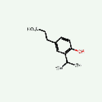 CC(C)(C)C(c1cc(CCC(=O)O)ccc1O)C(C)(C)C